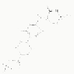 CC(C)(C)OC(=O)N1CCC(c2ccc(OC3CCC(=O)NC3=O)cc2O)CC1